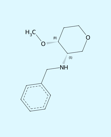 CO[C@@H]1CCOC[C@@H]1NCc1ccccc1